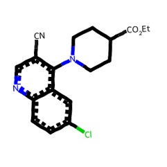 CCOC(=O)C1CCN(c2c(C#N)cnc3ccc(Cl)cc23)CC1